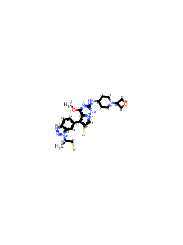 COc1nc(NC2CCN(C3COC3)CC2)nn2cc(F)c(-c3ccc4nnn([C@H](C)CF)c4c3)c12